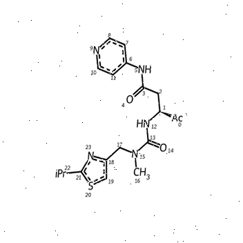 CC(=O)[C@H](CC(=O)Nc1ccncc1)NC(=O)N(C)Cc1csc(C(C)C)n1